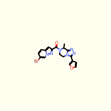 CC1c2nnc(-c3ccoc3)n2CCN1C(=O)c1cc2ccc(Br)cn2n1